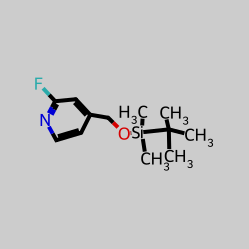 CC(C)(C)[Si](C)(C)OCc1ccnc(F)c1